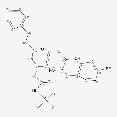 CC(C)(C)NC(=O)C[C@H](NC(=O)CCc1ccccc1)C(=O)N[C@@H](Cc1ccc(F)cc1)C(=O)O